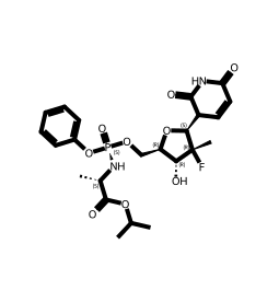 CC(C)OC(=O)[C@H](C)N[P@](=O)(OC[C@H]1O[C@@H](C2C=CC(=O)NC2=O)[C@](C)(F)[C@@H]1O)Oc1ccccc1